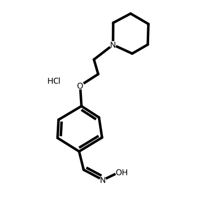 Cl.O/N=C\c1ccc(OCCN2CCCCC2)cc1